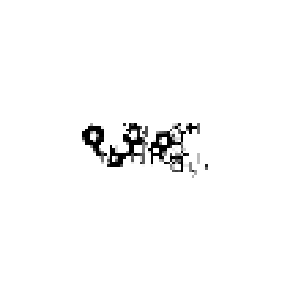 CC1(C)O[C@@H]2[C@@H](CO)CC(Nc3ncncc3C(=O)c3ccn(Cc4ccccc4)n3)[C@@H]2O1